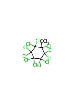 ClC(Cl)(Cl)C1(Cl)C(Cl)(Cl)C(Cl)(Cl)C(Cl)(Cl)C(Cl)(Cl)C1(Cl)Cl